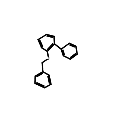 [c]1cccc(-c2ccccc2)c1SCc1ccccc1